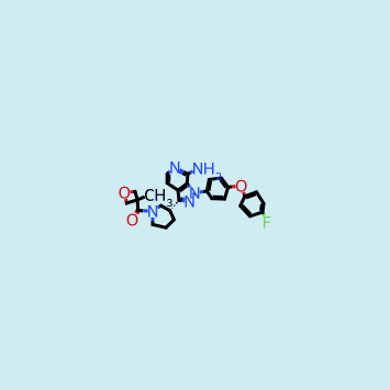 CC1(C(=O)N2CCC[C@@H](c3nn(-c4ccc(Oc5ccc(F)cc5)cc4)c4c(N)nccc34)C2)COC1